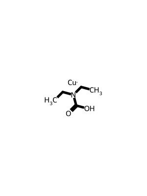 CCN(CC)C(=O)O.[Cu]